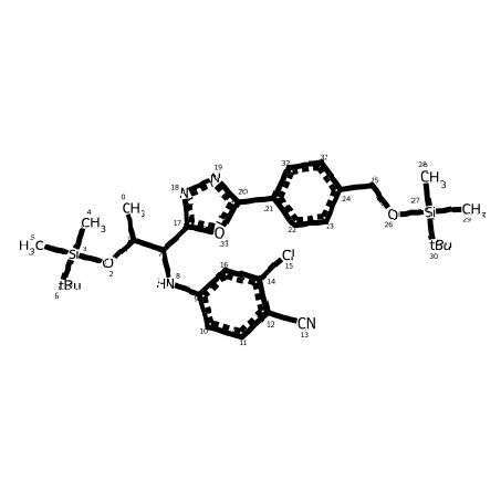 CC(O[Si](C)(C)C(C)(C)C)C(Nc1ccc(C#N)c(Cl)c1)c1nnc(-c2ccc(CO[Si](C)(C)C(C)(C)C)cc2)o1